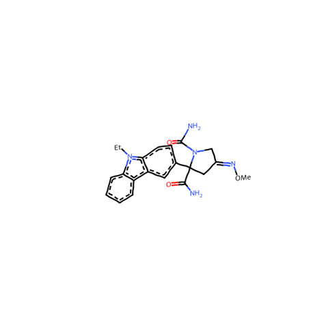 CCn1c2ccccc2c2cc(C3(C(N)=O)CC(=NOC)CN3C(N)=O)ccc21